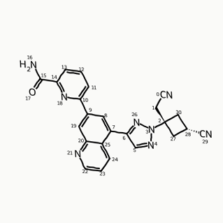 N#CC[C@]1(n2ncc(-c3cc(-c4cccc(C(N)=O)n4)cc4ncccc34)n2)C[C@@H](C#N)C1